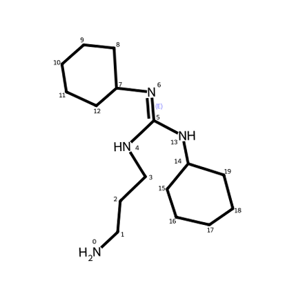 NCCCN/C(=N\C1CCCCC1)NC1CCCCC1